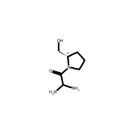 NC(N)C(=O)N1CCC[C@H]1CO